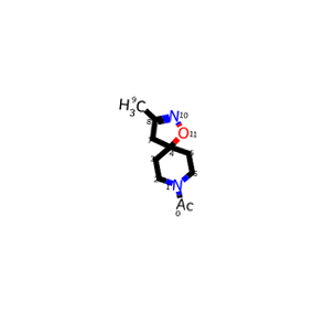 CC(=O)N1CCC2(CC1)CC(C)=NO2